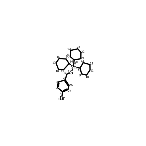 Brc1ccc(C[S][Sn]([CH]2CCCCC2)([CH]2CCCCC2)[CH]2CCCCC2)cc1